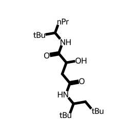 CCCC(NC(=O)C(O)CC(=O)NC(CC(C)(C)C)C(C)(C)C)C(C)(C)C